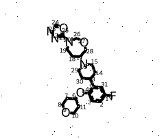 Fc1ccc(OC2CCOCC2)c(C2CCN([C@@H]3CCN(c4nnco4)COC3)CC2)c1